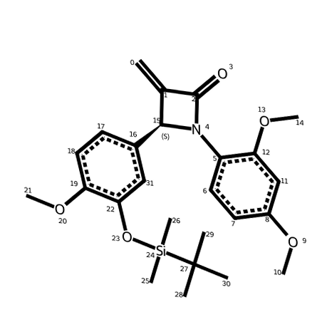 C=C1C(=O)N(c2ccc(OC)cc2OC)[C@H]1c1ccc(OC)c(O[Si](C)(C)C(C)(C)C)c1